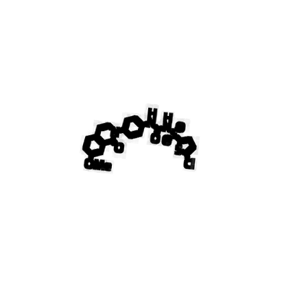 COc1ccc2ccn(-c3ccc(NC(=O)NS(=O)(=O)c4ccc(Cl)s4)cc3)c(=O)c2c1